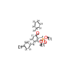 CCOP(=O)(Cc1cc(Cc2ccc(CC)cc2)ccc1OCc1ccccc1)OCC